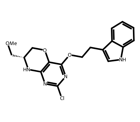 COC[C@@H]1COc2c(nc(Cl)nc2OCCc2c[nH]c3ccccc23)N1